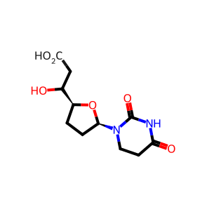 O=C(O)CC(O)[C@@H]1CC[C@H](N2CCC(=O)NC2=O)O1